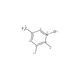 Cc1cc(C(F)(F)F)c[n+]([O-])c1C